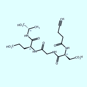 C#CCCC(=O)N[C@@H](CC(=O)O)C(=O)NCC(=O)N[C@@H](CCC(=O)O)C(=O)N[C@@H](C)C(=O)O